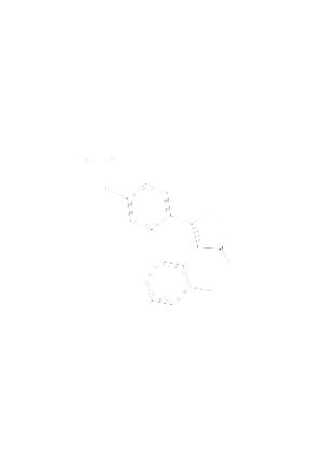 O=C1OCC(c2ccc(C[SH](=O)=O)cc2)=C1c1ccc(F)cc1Cl